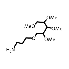 COCC(OC)C(OC)C(COCCCN)OC